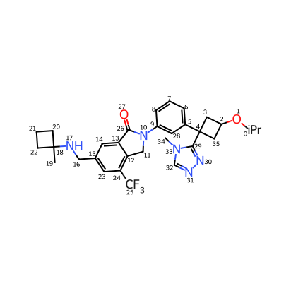 CC(C)OC1CC(c2cccc(N3Cc4c(cc(CNC5(C)CCC5)cc4C(F)(F)F)C3=O)c2)(c2nncn2C)C1